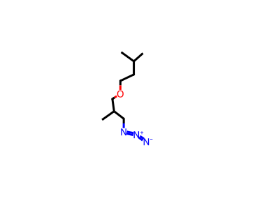 CC(C)CCOCC(C)CN=[N+]=[N-]